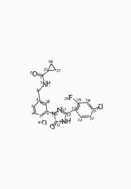 O=C(NCc1ccc(Cl)c(-n2nc(-c3ccc(Cl)cc3F)[nH]c2=O)c1)C1CC1